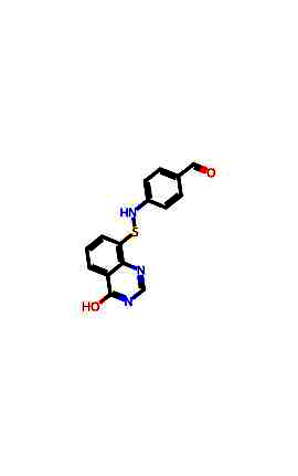 O=Cc1ccc(NSc2cccc3c(O)ncnc23)cc1